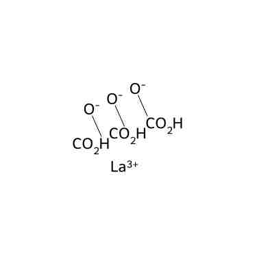 O=C([O-])O.O=C([O-])O.O=C([O-])O.[La+3]